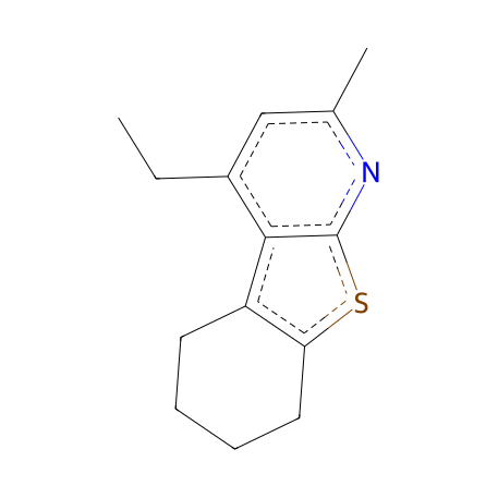 CCc1cc(C)nc2sc3c(c12)CCCC3